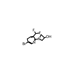 OC1CN(C2=NC=C(Br)CC=C2C(F)F)C1